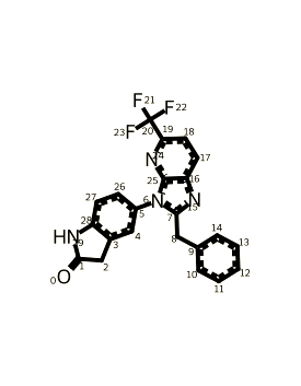 O=C1Cc2cc(-n3c(Cc4ccccc4)nc4ccc(C(F)(F)F)nc43)ccc2N1